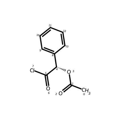 CC(=O)O[C@H](C(=O)Cl)c1ccccc1